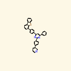 c1ccc(-c2cc(-c3ccc(-c4cccc5c4sc4ccccc45)cc3)nc(-c3ccc(-c4cccnc4)cc3)n2)cc1